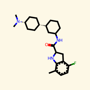 Cc1ccc(F)c2c1NC(C(=O)NC1CCCC([C@H]3CC[C@@H](N(C)C)CC3)C1)C2